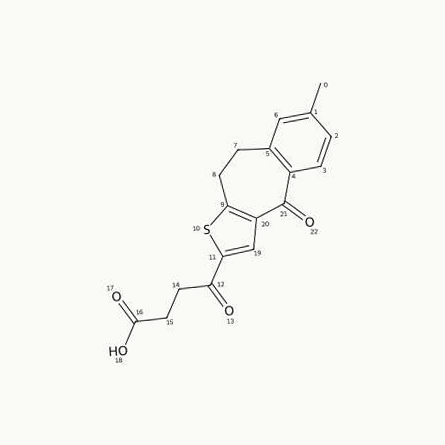 Cc1ccc2c(c1)CCc1sc(C(=O)CCC(=O)O)cc1C2=O